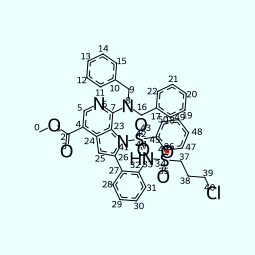 COC(=O)c1cnc(N(Cc2ccccc2)Cc2ccccc2)c2c1cc(-c1ccccc1NS(=O)(=O)CCCCl)n2S(=O)(=O)c1ccccc1